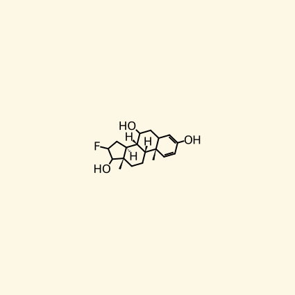 C[C@]12C=CC(O)=CC1CC(O)[C@@H]1[C@H]2CC[C@]2(C)C(O)C(F)C[C@@H]12